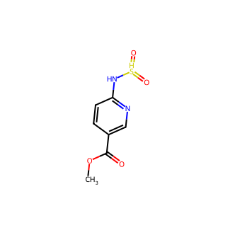 COC(=O)c1ccc(N[SH](=O)=O)nc1